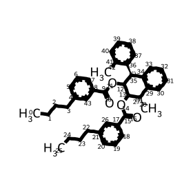 CCCCc1cccc(C(=O)OC2C(OC(=O)c3cccc(CCCC)c3)[C@@H](C)c3ccccc3[C@@H]2c2ccccc2C)c1